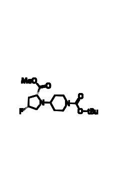 COC(=O)[C@H]1C[C@@H](F)CN1C1CCN(C(=O)OC(C)(C)C)CC1